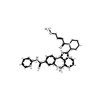 COCC=CC(=O)N1CCCCC1c1nc(-c2ccc(C(=O)Nc3ccccn3)cc2C)c2c(N)nccn12